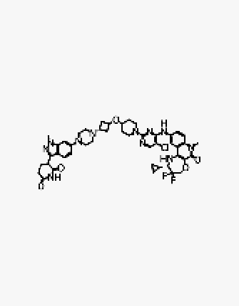 Cn1nc(C2CCC(=O)NC2=O)c2ccc(N3CCN([C@H]4C[C@H](OC5CCN(c6ncc(Cl)c(Nc7ccc8c(c7)c7c(c(=O)n8C)OCC(F)(F)[C@H](C8CC8)N7)n6)CC5)C4)CC3)cc21